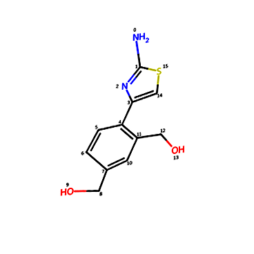 Nc1nc(-c2ccc(CO)cc2CO)cs1